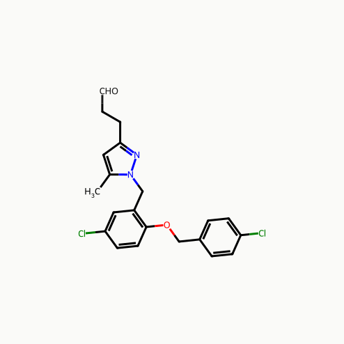 Cc1cc(CCC=O)nn1Cc1cc(Cl)ccc1OCc1ccc(Cl)cc1